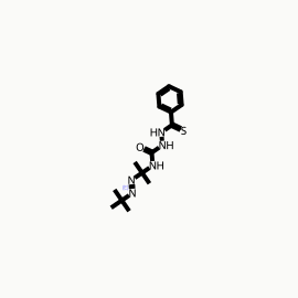 CC(C)(C)/N=N/C(C)(C)NC(=O)NNC(=S)c1ccccc1